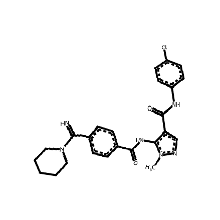 Cn1ncc(C(=O)Nc2ccc(Cl)cc2)c1NC(=O)c1ccc(C(=N)N2CCCCC2)cc1